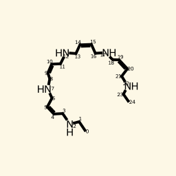 CCNC/C=C\CNC/C=C\CNC/C=C\CNC/C=C\CNCC